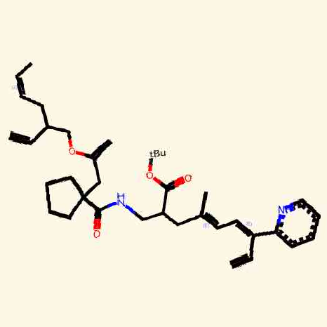 C=C/C(=C\C=C(/C)CC(CNC(=O)C1(CC(=C)OCC(C=C)C/C=C\C)CCCC1)C(=O)OC(C)(C)C)c1ccccn1